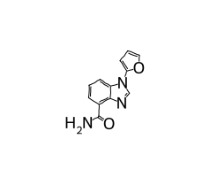 NC(=O)c1cccc2c1ncn2-c1ccco1